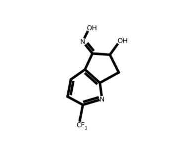 ON=C1c2ccc(C(F)(F)F)nc2CC1O